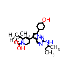 CCC(C)Nc1ncc2c(C3=CC(C(C)(C)C)N(C(=O)O)CC3)cc(C3CCC(O)CC3)n2n1